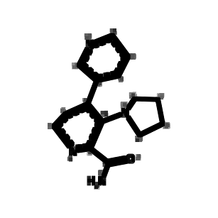 NC(=O)c1nccc(-c2cccnc2)c1N1CCCC1